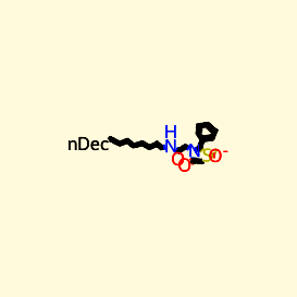 CCCCCCCCCCCCCCCCCCNC(=O)CN1C(=O)C[S+]([O-])C1c1ccccc1